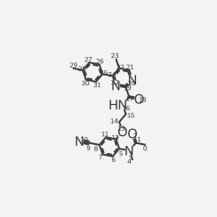 CC(=O)N(C)c1ccc(C#N)cc1OCCNC(=O)c1ncc(C)c(-c2ccc(C)cc2)n1